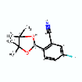 CC1(C)OB(c2ccc(F)cc2C#N)OC1(C)C